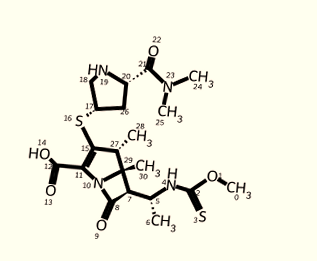 COC(=S)N[C@H](C)[C@H]1C(=O)N2C(C(=O)O)=C(S[C@@H]3CN[C@H](C(=O)N(C)C)C3)[C@H](C)[C@]12C